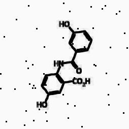 O=C(Nc1ccc(O)cc1C(=O)O)c1cccc(O)c1